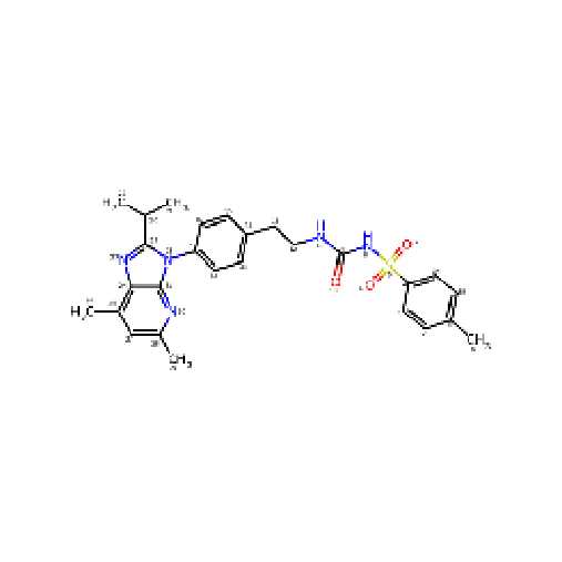 Cc1ccc(S(=O)(=O)NC(=O)NCCc2ccc(-n3c(C(C)C)nc4c(C)cc(C)nc43)cc2)cc1